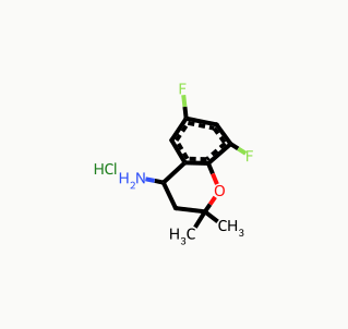 CC1(C)CC(N)c2cc(F)cc(F)c2O1.Cl